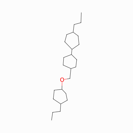 CCCC1CCC(OCC2CCC(C3CCC(CCC)CC3)CC2)CC1